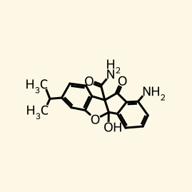 CC(C)c1ccc2c(c1)OC1(O)c3cccc(N)c3C(=O)C21C(N)=O